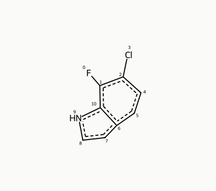 Fc1c(Cl)ccc2cc[nH]c12